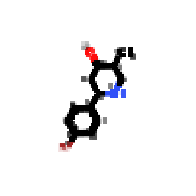 CC1CNC(c2ccc(Br)cc2)CC1=O